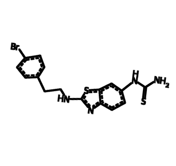 NC(=S)Nc1ccc2nc(NCCc3ccc(Br)cc3)sc2c1